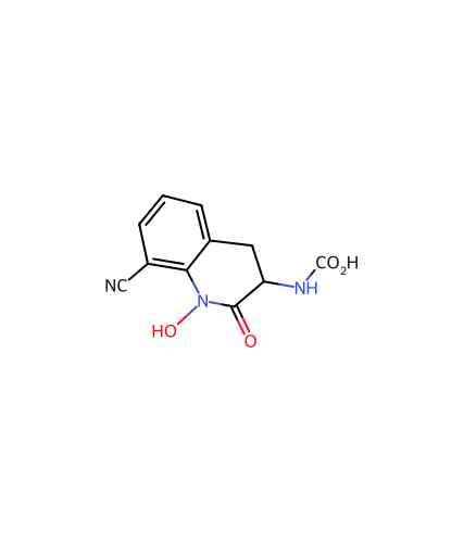 N#Cc1cccc2c1N(O)C(=O)C(NC(=O)O)C2